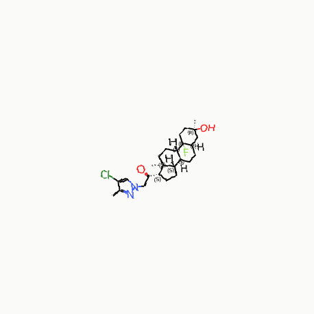 Cc1nn(CC(=O)[C@H]2CC[C@H]3[C@@H]4CC[C@@H]5C[C@](C)(O)CC[C@]5(F)[C@H]4CC[C@]23C)cc1Cl